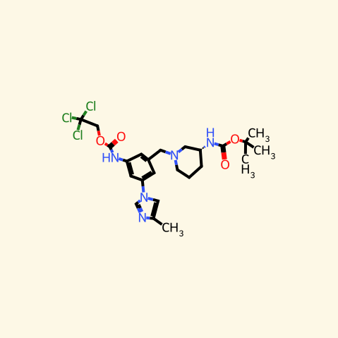 Cc1cn(-c2cc(CN3CCC[C@@H](NC(=O)OC(C)(C)C)C3)cc(NC(=O)OCC(Cl)(Cl)Cl)c2)cn1